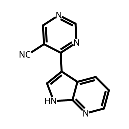 N#Cc1cncnc1-c1c[nH]c2ncccc12